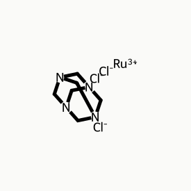 C1N2CN3CN1CN(C2)C3.[Cl-].[Cl-].[Cl-].[Ru+3]